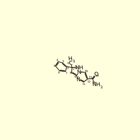 CC1(c2ccccc2)C=C2N=CC(C(N)=O)=CN2N1